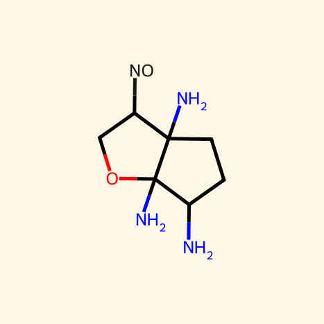 NC1CCC2(N)C(N=O)COC12N